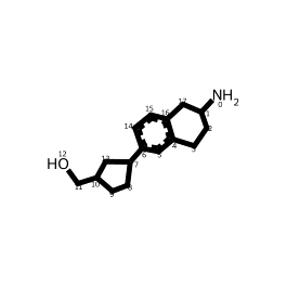 NC1CCc2cc(C3CCC(CO)C3)ccc2C1